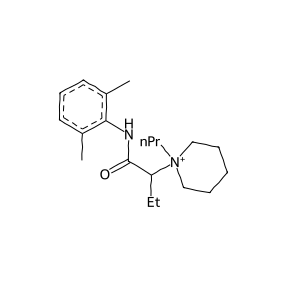 CCC[N+]1(C(CC)C(=O)Nc2c(C)cccc2C)CCCCC1